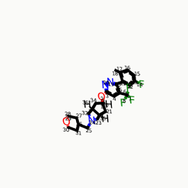 [2H]C1(Oc2cc(C(F)(F)F)c(-c3cc(F)ccc3C)nn2)C[C@H]2CN(CC3CCOCC3)C[C@H]2C1